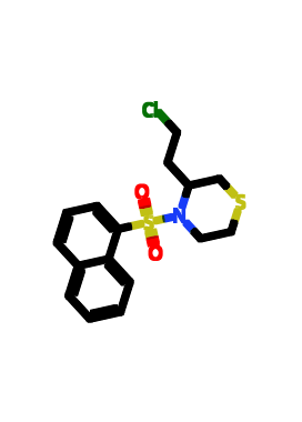 O=S(=O)(c1cccc2ccccc12)N1CCSCC1CCCl